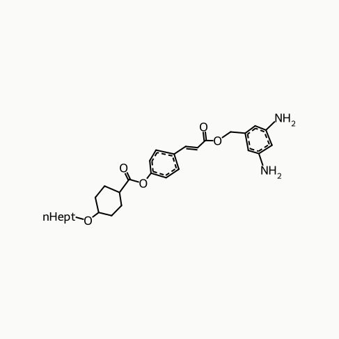 CCCCCCCOC1CCC(C(=O)Oc2ccc(/C=C/C(=O)OCc3cc(N)cc(N)c3)cc2)CC1